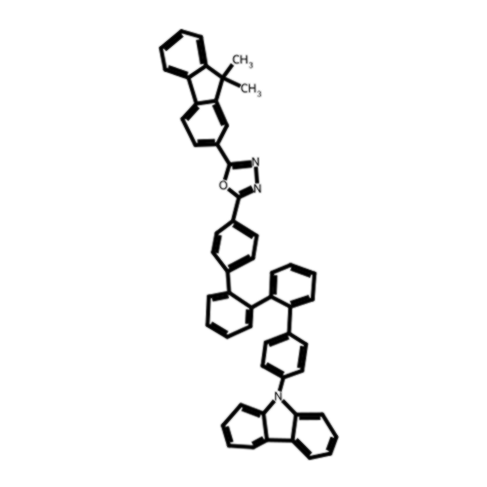 CC1(C)c2ccccc2-c2ccc(-c3nnc(-c4ccc(-c5ccccc5-c5ccccc5-c5ccc(-n6c7ccccc7c7ccccc76)cc5)cc4)o3)cc21